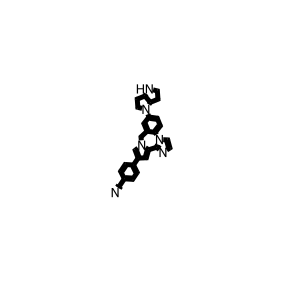 N#Cc1ccc(-c2cc3n(c2)Cc2cc(N4CCC5NCCC54)ccc2-n2ccnc2-3)cc1